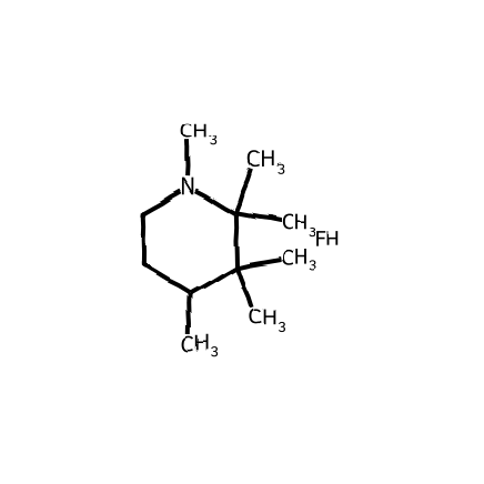 CC1CCN(C)C(C)(C)C1(C)C.F